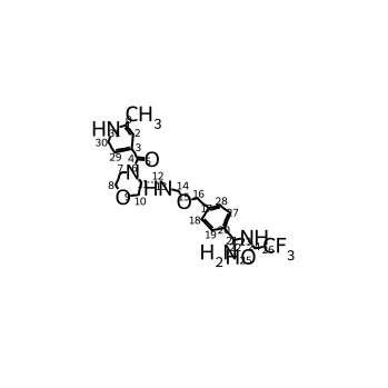 CC1=CC(C(=O)N2CCOC[C@H]2CNCOCc2ccc(C(N)NC(O)C(F)(F)F)cc2)=CCN1